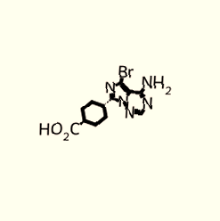 Nc1ncnn2c1c(Br)nc2[C@H]1CC[C@H](C(=O)O)CC1